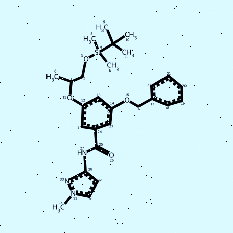 CC(CO[Si](C)(C)C(C)(C)C)Oc1cc(OCc2ccccc2)cc(C(=O)Nc2ccn(C)n2)c1